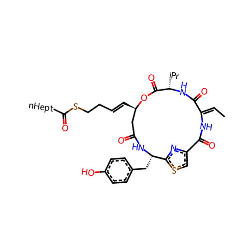 C/C=C1\NC(=O)c2csc(n2)[C@H](Cc2ccc(O)cc2)NC(=O)C[C@@H](/C=C/CCSC(=O)CCCCCCC)OC(=O)[C@H](C(C)C)NC1=O